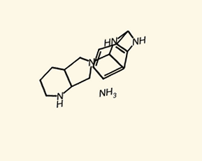 N.c1cc2c3c(c1)C(N1CC4CCCNC4C1)NC2N3